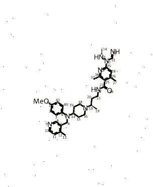 COc1ccc(N(Cc2cnccc2C)C2CCN([C@H](C)CCNC(=O)c3c(C)cc(N(C=N)NI)nc3C)CC2)cc1